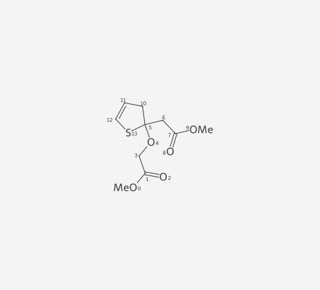 COC(=O)COC1(CC(=O)OC)CC=CS1